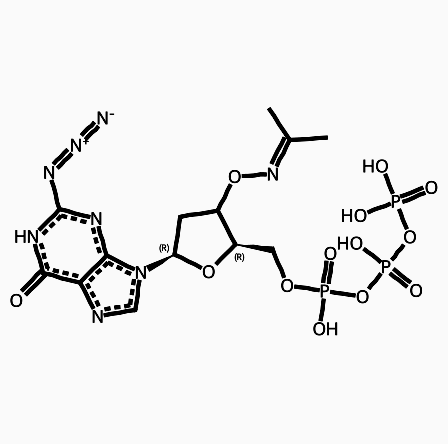 CC(C)=NOC1C[C@H](n2cnc3c(=O)[nH]c(N=[N+]=[N-])nc32)O[C@@H]1COP(=O)(O)OP(=O)(O)OP(=O)(O)O